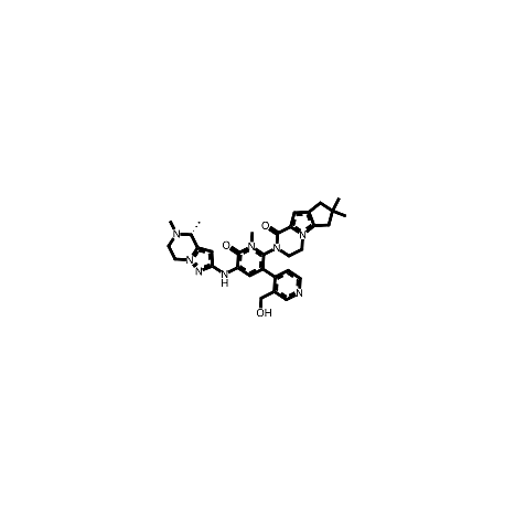 C[C@@H]1c2cc(Nc3cc(-c4ccncc4CO)c(N4CCn5c(cc6c5CC(C)(C)C6)C4=O)n(C)c3=O)nn2CCN1C